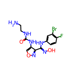 NCCNC(=O)Nc1conc1/C(=N/O)Nc1ccc(F)c(Br)c1